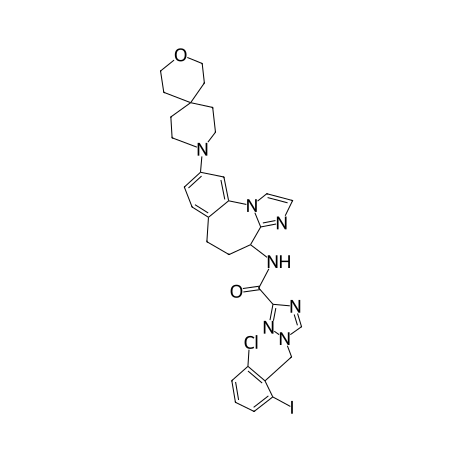 O=C(NC1CCc2ccc(N3CCC4(CCOCC4)CC3)cc2-n2ccnc21)c1ncn(Cc2c(Cl)cccc2I)n1